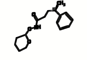 C[C@H](CCC(=O)NOC1CCCCO1)c1ccccc1